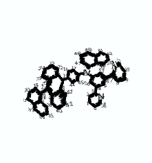 c1ccc(-c2cc(-c3ccccn3)cc(N(c3ccc(-c4c5ccccc5c(-c5cccc6ccccc56)c5ccccc45)cc3)c3cccc4ccccc34)c2)nc1